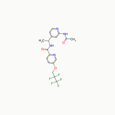 CC(=O)Nc1cc(C(C)NC(=O)c2ccc(OCC(F)(F)C(F)(F)F)cn2)ccn1